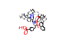 CC(C)N(CCN(CC(=Cc1ccc(C(=O)O)cc1)COc1cccc2ccccc12)C(=O)OC(C)(C)C)C(C)C